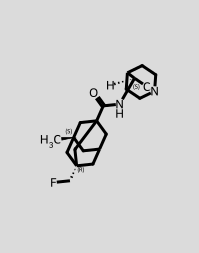 C[C@]12CC3CC(C(=O)N[C@@H]4CN5CCC4CC5)(C1)C[C@@](CF)(C3)C2